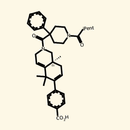 CCCC(C)C(=O)N1CCC(C(=O)N2CC=C3C(C)(C)C(c4ccc(C(=O)O)cc4)=CC[C@]3(C)C2)(c2ccccc2)CC1